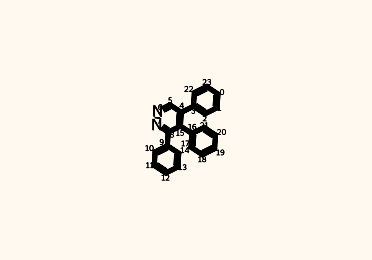 c1ccc(-c2cnnc(-c3ccccc3)c2-c2ccccc2)cc1